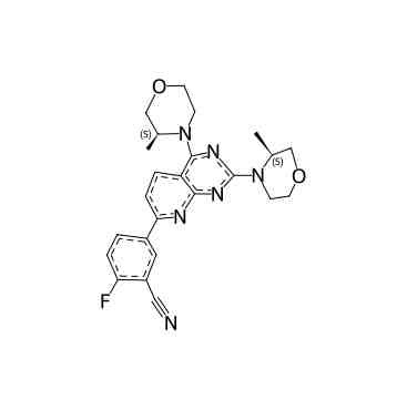 C[C@H]1COCCN1c1nc(N2CCOC[C@@H]2C)c2ccc(-c3ccc(F)c(C#N)c3)nc2n1